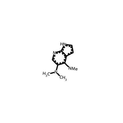 CNc1c(N(C)C)cnc2[nH]ccc12